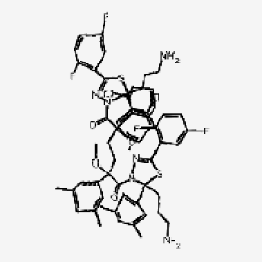 COC(CC[C@@](OC)(C(=O)N1N=C(c2cc(F)ccc2F)SC1(CCCN)c1cc(C)cc(C)c1)c1cc(C)cc(C)c1)(C(=O)N1N=C(c2cc(F)ccc2F)SC1(CCCN)c1ccccc1Cl)c1ccccc1Cl